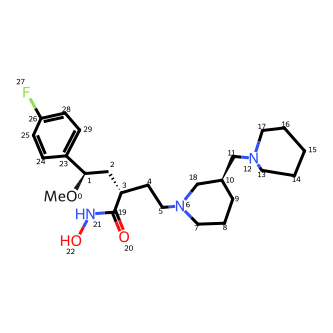 CO[C@H](C[C@H](CCN1CCC[C@H](CN2CCCCC2)C1)C(=O)NO)c1ccc(F)cc1